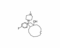 CN1CCN(CC2CCCCCCCCCCC2(O)Cc2ccc(F)cc2)CC1